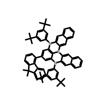 CC(C)(C)c1cc(N2c3cc4ccccc4cc3B3c4cc5ccccc5cc4N(c4cc(C(C)(C)C)cc(C(C)(C)C)c4)c4cc(-c5cccc6c5-c5ccccc5C6(C)C)cc2c43)cc(C(C)(C)C)c1